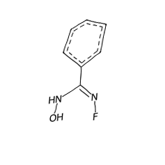 ONC(=NF)c1ccccc1